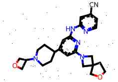 N#Cc1ccnc(Nc2cc(C3CCN(C4COC4)CC3)cc(N3CC4(CCOC4)C3)n2)c1